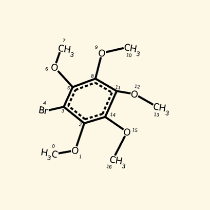 COc1c(Br)c(OC)c(OC)c(OC)c1OC